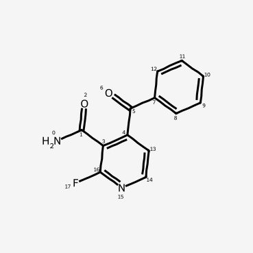 NC(=O)c1c(C(=O)c2ccccc2)ccnc1F